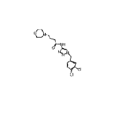 O=C(CCCN1CCOCC1)Nc1cn(Cc2ccc(Cl)c(Cl)c2)nn1